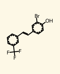 Oc1ccc(C=Cc2cccc(C(F)(F)F)c2)cc1Br